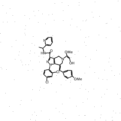 CO/C(=C/O)N1C/C(=C\c2ccc(OC)cc2)c2c(c(C(=O)NC(C)c3ccccn3)nn2-c2ccc(Cl)cc2Cl)C1